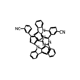 N#Cc1cccc(-c2ccc(-n3c4ccccc4c4ccccc43)c(-c3nc(-c4ccccc4)nc(-c4cc(C#N)ccc4-n4c5ccccc5c5ccccc54)n3)c2)c1